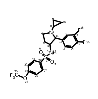 O=S(=O)(NC1CCN(C2CC2)C1c1ccc(F)c(F)c1)c1ccc(OC(F)(F)F)cc1